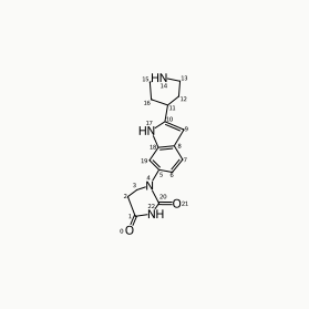 O=C1CCN(c2ccc3cc(C4CCNCC4)[nH]c3c2)C(=O)N1